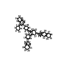 c1ccc(-n2c(-c3ccc(-n4c5ccc(-c6nc7ccccc7s6)cc5c5cc(-c6nc7cc8ccccc8cc7s6)ccc54)cc3)nc3ccccc32)cc1